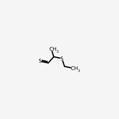 CCSC(C)C=S